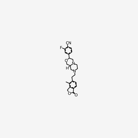 Cc1c(CCN2CCN3CC(c4ccc(C#N)c(F)c4)OC[C@H]3C2)ccc2c1COC2=O